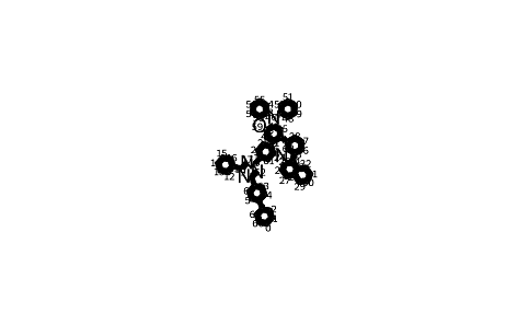 c1ccc(-c2ccc(-c3nc(-c4ccccc4)nc(-c4cccc(-n5c6ccc7ccccc7c6c6cccc(-c7ccc8c(c7)N(c7ccccc7)c7ccccc7O8)c65)c4)n3)cc2)cc1